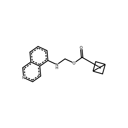 O=C(OCNc1cccc2cnccc12)N1CC2CC1C2